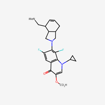 CNCC1C=CCC2CN(c3c(F)cc4c(=O)c(OC(=O)O)cn(C5CC5)c4c3F)CC12